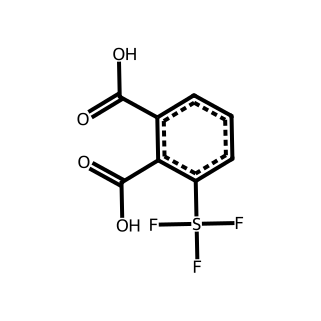 O=C(O)c1cccc(S(F)(F)F)c1C(=O)O